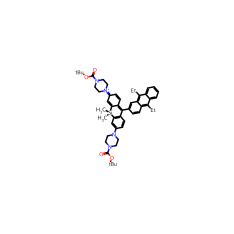 CCc1c2ccccc2c(CC)c2cc(C3=C4C=CC(=[N+]5CCN(C(=O)OC(C)(C)C)CC5)C=C4[Si](C)(C)c4cc(N5CCN(C(=O)OC(C)(C)C)CC5)ccc43)ccc12